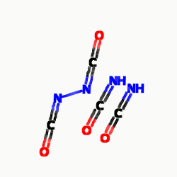 N=C=O.N=C=O.O=C=NN=C=O